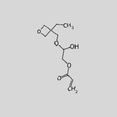 C=CC(=O)OCC(O)OCC1(CC)COC1